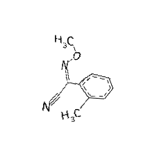 CO/N=C(/C#N)c1ccccc1C